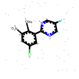 COc1c(-c2ncc(F)cn2)cc(Cl)cc1[N+](=O)[O-]